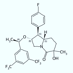 C[C@@H](O[C@H]1CN2C(=O)C(C)(O)CC[C@H]2[C@@H]1c1ccc(F)cc1)c1cc(C(F)(F)F)cc(C(F)(F)F)c1